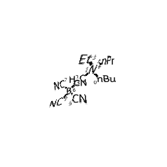 CCCC[N+](C)(CC)CCC.N#C[B-](C#N)(C#N)C#N